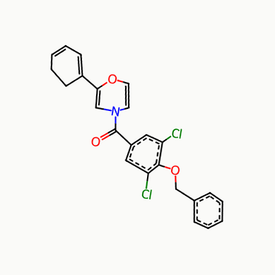 O=C(c1cc(Cl)c(OCc2ccccc2)c(Cl)c1)N1C=COC(C2=CC=CCC2)=C1